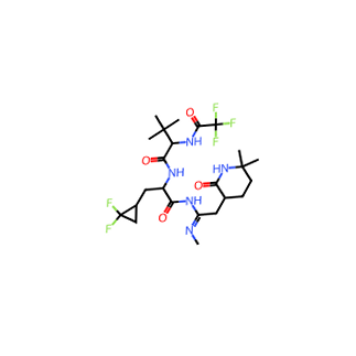 C/N=C(\CC1CCC(C)(C)NC1=O)NC(=O)C(CC1CC1(F)F)NC(=O)C(NC(=O)C(F)(F)F)C(C)(C)C